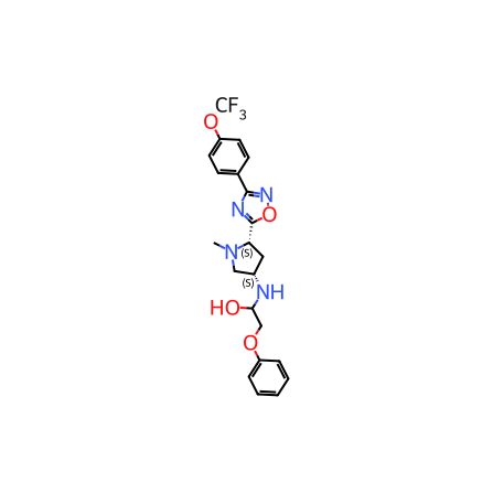 CN1C[C@@H](NC(O)COc2ccccc2)C[C@H]1c1nc(-c2ccc(OC(F)(F)F)cc2)no1